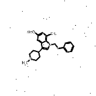 COc1cc(C)c2c(c1)c(C1CCN(C)CC1)cn2CCc1ccccc1